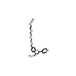 CCC(CC(C)c1ccncc1)c1ccc(COCCOCCOCCN=[N+]=[N-])cc1